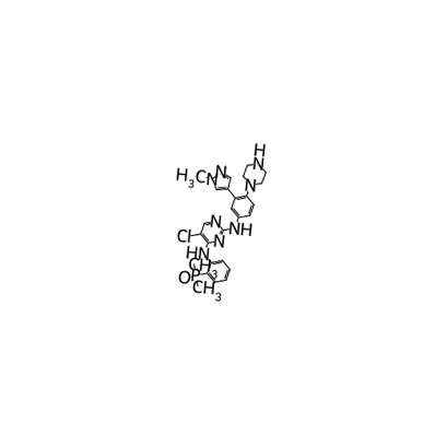 Cn1cc(-c2cc(Nc3ncc(Cl)c(Nc4ccccc4P(C)(C)=O)n3)ccc2N2CCNCC2)cn1